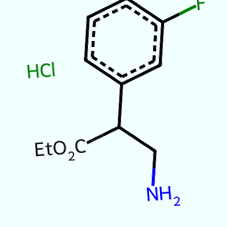 CCOC(=O)C(CN)c1cccc(F)c1.Cl